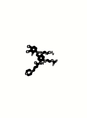 C=N/C=N\c1cc(OCCOC(F)F)c(NC(=O)/C=C/CN2CCOCC2)cc1CNc1ccc(Cl)c(Cl)c1F